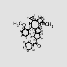 COc1ccccc1C1=NC2(CC2)c2nnc(C)n2-c2sc3c(c21)C[C@H](C(=O)N1CCOCC1)C3